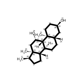 C[C@@H]1CC[C@H]2[C@@H]3CC[C@H]4C[C@H](O)CC[C@]4(C)[C@H]3[C@@H](O)C[C@]12C